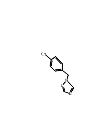 [C-]#[N+]c1ccc(Cn2cncn2)cc1